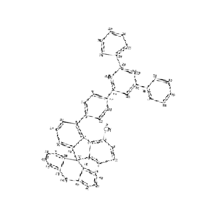 N#Cc1cccc2c1-c1c(-c3ccc(-c4cc(-c5ccccc5)nc(-c5ccccc5)n4)cc3)cccc1C21c2ccccc2Sc2ccccc21